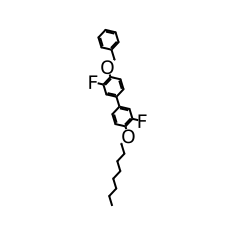 CCCCCCCCOc1ccc(-c2ccc(OCc3ccccc3)c(F)c2)cc1F